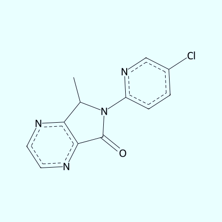 CC1c2nccnc2C(=O)N1c1ccc(Cl)cn1